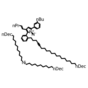 CCCC=CC1=C(c2ccccc2CCCC#CCCCCCCCCCCCCCCCCCCCCCCCC)[N+](=[N-])C(c2cccc(CCCC)c2)=C1.CCCCCCCCCCCCCCCCCCC[CH2][Ni][CH2]CCCCCCCCCCCCCCCCCCC